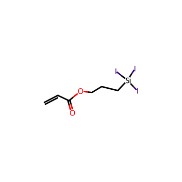 C=CC(=O)OCCC[Si](I)(I)I